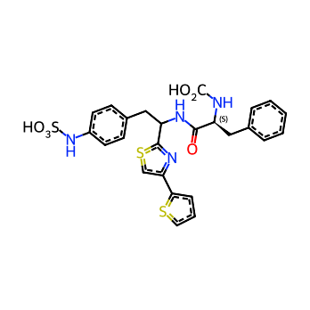 O=C(O)N[C@@H](Cc1ccccc1)C(=O)NC(Cc1ccc(NS(=O)(=O)O)cc1)c1nc(-c2cccs2)cs1